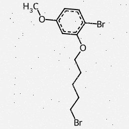 COc1ccc(Br)c(OCCCCCBr)c1